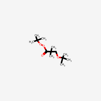 CC(C)(C)OCC(C)(C)C(=O)OOC(C)(C)C